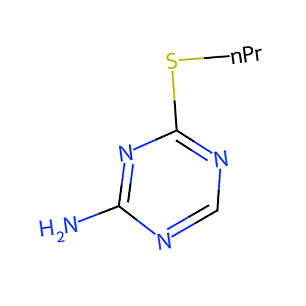 CCCSc1ncnc(N)n1